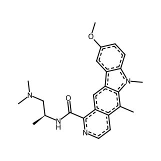 COc1ccc2c(c1)c1cc3c(C(=O)N[C@@H](C)CN(C)C)nccc3c(C)c1n2C